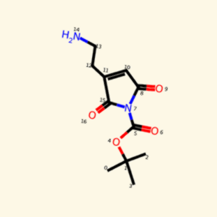 CC(C)(C)OC(=O)N1C(=O)C=C(CCN)C1=O